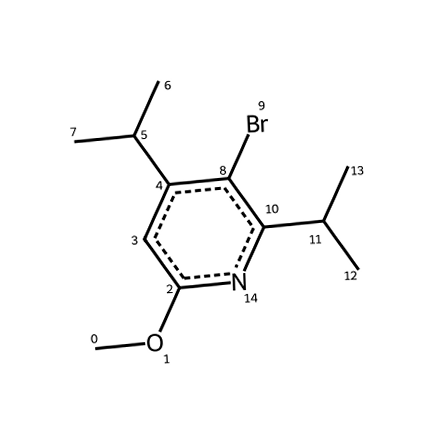 COc1cc(C(C)C)c(Br)c(C(C)C)n1